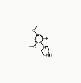 COc1cc(F)c(N2CCNCC2)c(OC)c1